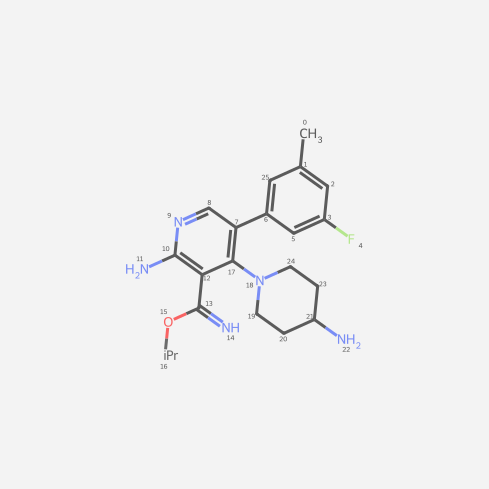 Cc1cc(F)cc(-c2cnc(N)c(C(=N)OC(C)C)c2N2CCC(N)CC2)c1